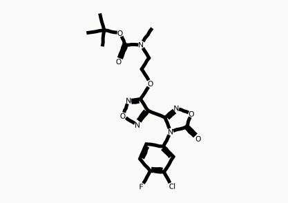 CN(CCOc1nonc1-c1noc(=O)n1-c1ccc(F)c(Cl)c1)C(=O)OC(C)(C)C